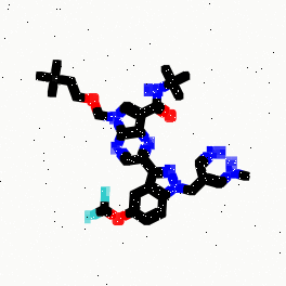 CN/C=C(\C=N)Cn1nc(-c2cnc3c(n2)c(C(=O)NC(C)(C)C)cn3COCC[Si](C)(C)C)c2cc(OC(F)F)ccc21